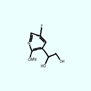 COc1ncc(F)cc1C(O)CO